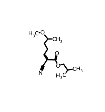 COC(C)CCC=C(C#N)C(=O)OCC(C)C